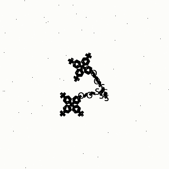 CC(C)(C)c1ccc(C(c2ccc(OCCOCCSc3sc(=S)sc3SCCOCCOc3ccc(C(c4ccc(C(C)(C)C)cc4)(c4ccc(C(C)(C)C)cc4)c4ccc(C(C)(C)C)cc4)cc3)cc2)(c2ccc(C(C)(C)C)cc2)c2ccc(C(C)(C)C)cc2)cc1